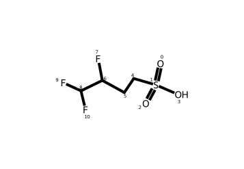 O=S(=O)(O)CCC(F)C(F)F